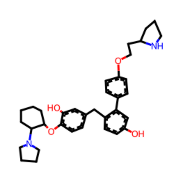 Oc1ccc(Cc2ccc(OC3CCCCC3N3CCCC3)c(O)c2)c(-c2ccc(OCCC3CCCN3)cc2)c1